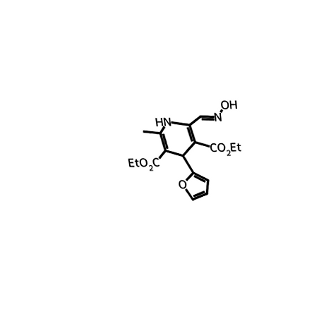 CCOC(=O)C1=C(C)NC(C=NO)=C(C(=O)OCC)C1c1ccco1